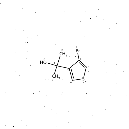 CC(C)(O)c1cscc1Br